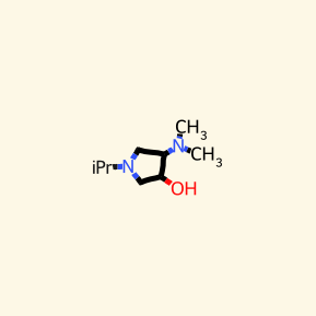 CC(C)N1CC(O)C(N(C)C)C1